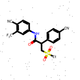 CCS(=O)(=O)CC(C(=O)Nc1ccc(C#N)c(C(F)(F)F)c1)c1ccc(C#N)cc1